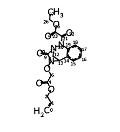 C=CCOC(=O)CON1C(=O)N2CC1c1ccccc1N2C(=O)C(=O)OCC